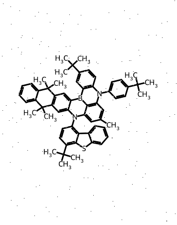 Cc1cc2c3c(c1)N(c1ccc(C(C)(C)C)c4sc5ccccc5c14)c1cc4c(cc1B3c1cc(C(C)(C)C)ccc1N2c1ccc(C(C)(C)C)cc1)C(C)(C)c1ccccc1C4(C)C